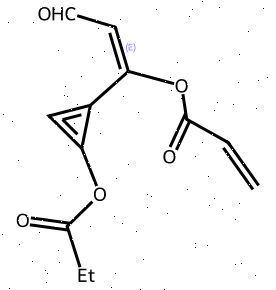 C=CC(=O)O/C(=C/C=O)C1=C=C1OC(=O)CC